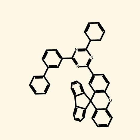 C1=CCC(c2nc(-c3cccc(-c4ccccc4)c3)nc(-c3ccc4c(c3)C3(c5ccccc5O4)c4ccccc4-c4ccccc43)n2)C=C1